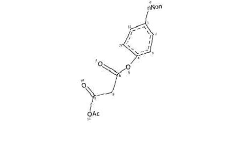 CCCCCCCCCc1ccc(OC(=O)CC(=O)OC(C)=O)cc1